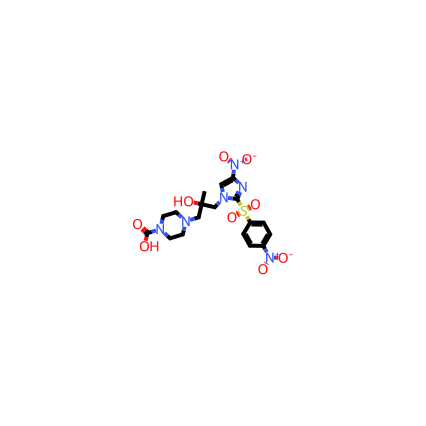 CC(O)(CN1CCN(C(=O)O)CC1)Cn1cc([N+](=O)[O-])nc1S(=O)(=O)c1ccc([N+](=O)[O-])cc1